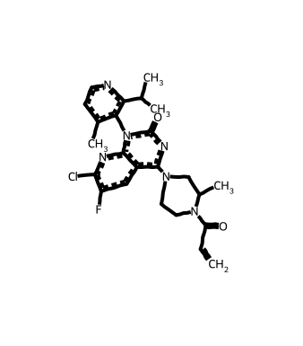 C=CC(=O)N1CCN(c2nc(=O)n(-c3c(C)ccnc3C(C)C)c3nc(Cl)c(F)cc23)CC1C